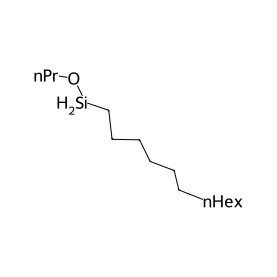 CCCCCCCCCCCC[SiH2]OCCC